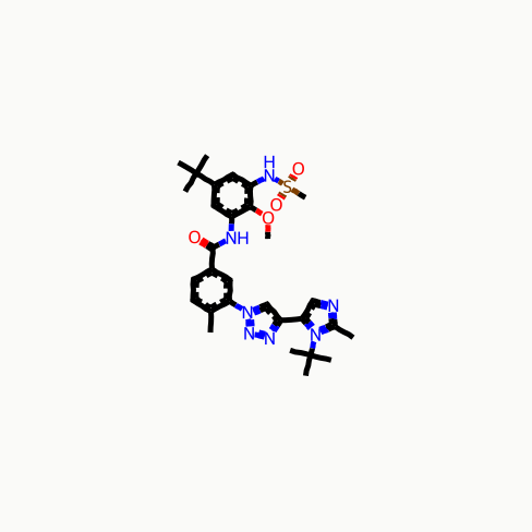 COc1c(NC(=O)c2ccc(C)c(-n3cc(-c4cnc(C)n4C(C)(C)C)nn3)c2)cc(C(C)(C)C)cc1NS(C)(=O)=O